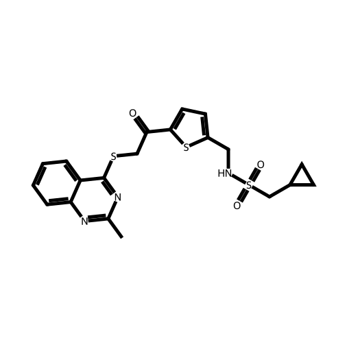 Cc1nc(SCC(=O)c2ccc(CNS(=O)(=O)CC3CC3)s2)c2ccccc2n1